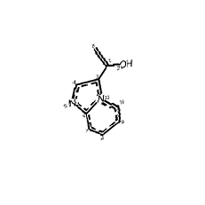 C=C(O)c1cnc2ccccn12